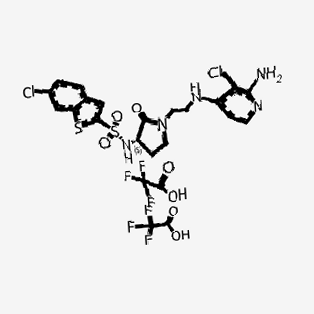 Nc1nccc(NCCN2CC[C@H](NS(=O)(=O)c3cc4ccc(Cl)cc4s3)C2=O)c1Cl.O=C(O)C(F)(F)F.O=C(O)C(F)(F)F